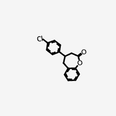 O=C1CC(c2ccc(Cl)cc2)Cc2ccccc2O1